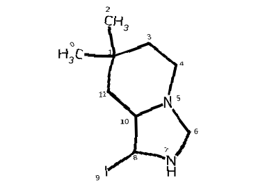 CC1(C)CCN2CNC(I)C2C1